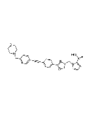 C[C@H](O)c1nccn1CC1COC(c2ccc(C#Cc3ccc(CN4CCOCC4)cc3)cc2)=N1